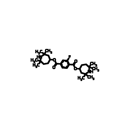 CC1(C)CCC(OC(=O)c2ccc(C(=O)OC3CCC(C)(C)NC(C)(C)C3)c(F)c2)CC(C)(C)N1